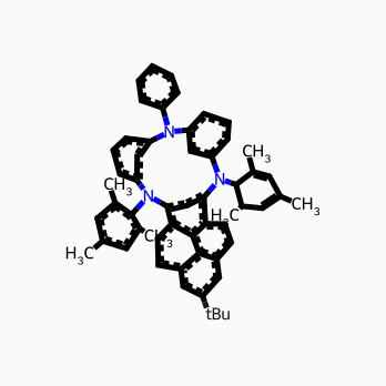 CC1=CC(C)C(N2c3cccc(c3)N(c3ccccc3)c3cccc(c3)N(c3c(C)cc(C)cc3C)c3cc2c2ccc4cc(C(C)(C)C)cc5ccc3c2c54)C(C)=C1